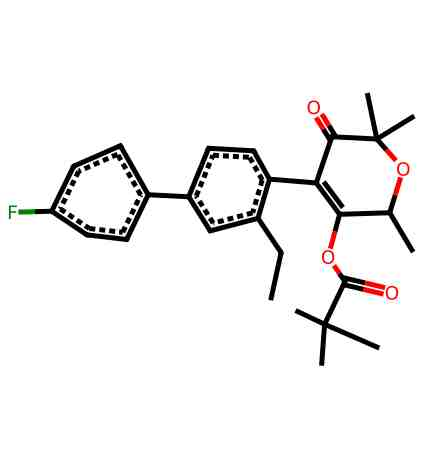 CCc1cc(-c2ccc(F)cc2)ccc1C1=C(OC(=O)C(C)(C)C)C(C)OC(C)(C)C1=O